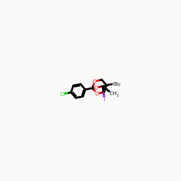 CC(C)(C)C12COC(c3ccc(Cl)cc3)(OC1)OC2(C)I